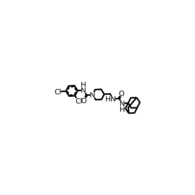 O=C(NCC1CCN(C(=O)Nc2ccc(Cl)cc2Cl)CC1)NC12CC3CC(CC(C3)C1)C2